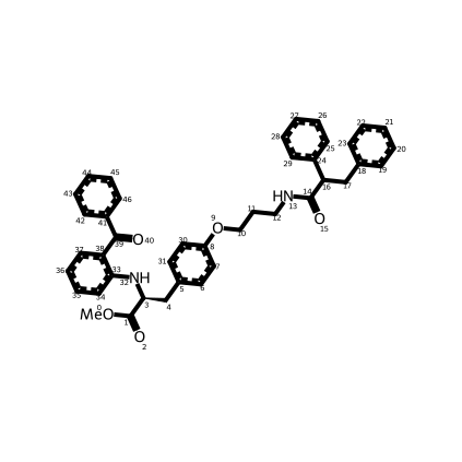 COC(=O)[C@H](Cc1ccc(OCCCNC(=O)C(Cc2ccccc2)c2ccccc2)cc1)Nc1ccccc1C(=O)c1ccccc1